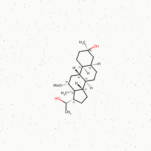 CO[C@@H]1C[C@H]2[C@@H](CC[C@@H]3C[C@](C)(O)CC[C@@H]32)[C@@H]2CC[C@H](C(C)O)[C@@]12C